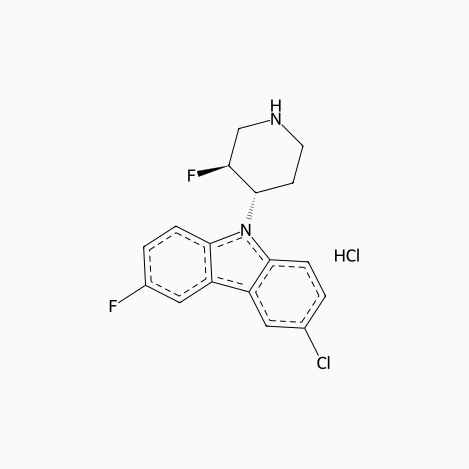 Cl.Fc1ccc2c(c1)c1cc(Cl)ccc1n2[C@H]1CCNC[C@@H]1F